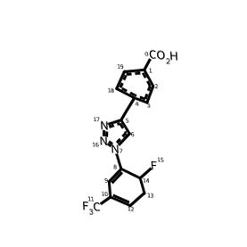 O=C(O)c1ccc(-c2cn(C3=CC(C(F)(F)F)=CCC3F)nn2)cc1